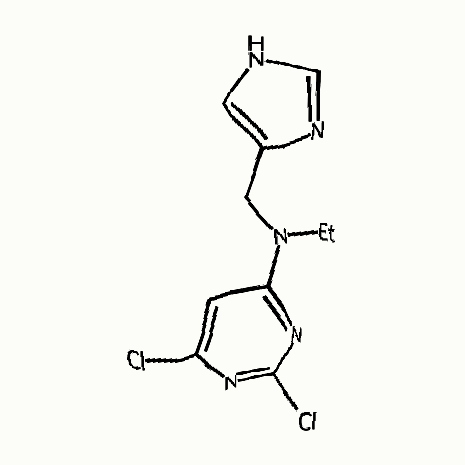 CCN(Cc1c[nH]cn1)c1cc(Cl)nc(Cl)n1